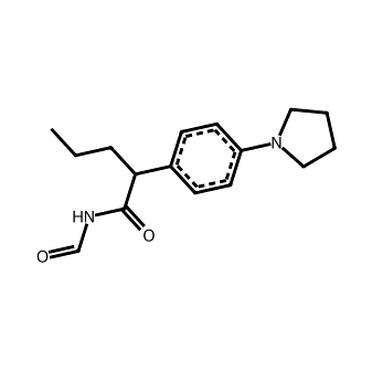 CCCC(C(=O)NC=O)c1ccc(N2CCCC2)cc1